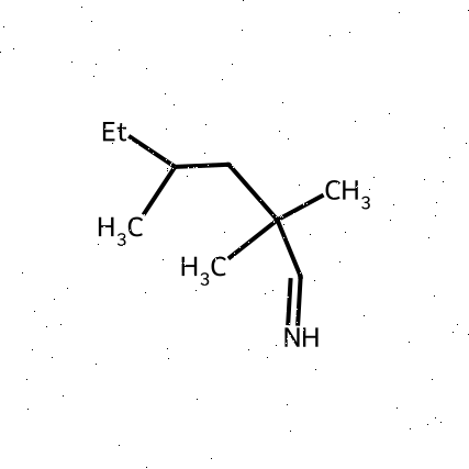 CCC(C)CC(C)(C)C=N